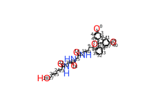 COc1ccc(C(OCCCCNC(=O)CNC(=O)CNC(=O)CCCCCO)(c2ccccc2)c2ccc(OC)cc2)cc1